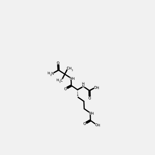 CC(C)(NC(=O)[C@@H](CCCNC(=O)O)NC(=O)O)C(N)=O